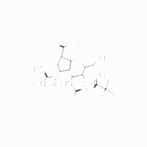 CC(=O)NC(C(O)C(O)CO)[C@@H]1CC(C(=O)O)C[C@@H]1NC(=N)N.O=C(O)C(F)(F)F